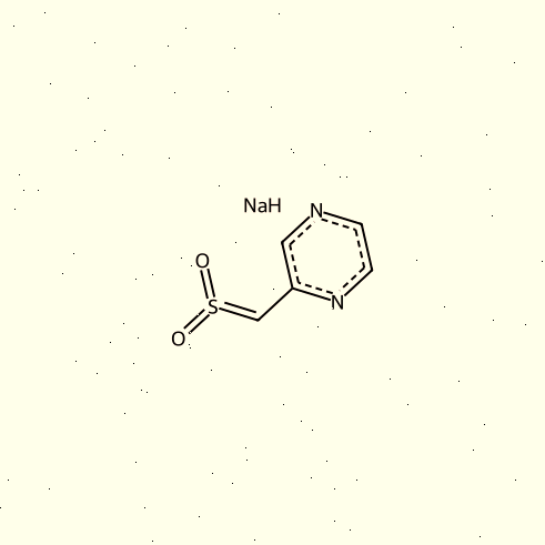 O=S(=O)=Cc1cnccn1.[NaH]